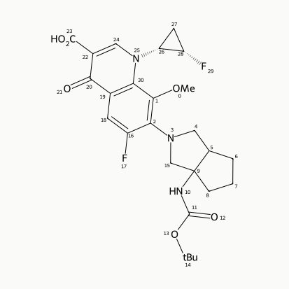 COc1c(N2CC3CCCC3(NC(=O)OC(C)(C)C)C2)c(F)cc2c(=O)c(C(=O)O)cn([C@@H]3C[C@@H]3F)c12